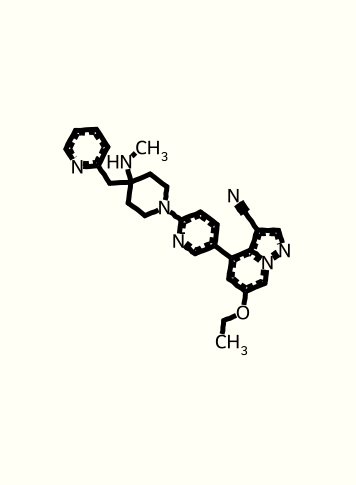 CCOc1cc(-c2ccc(N3CCC(Cc4ccccn4)(NC)CC3)nc2)c2c(C#N)cnn2c1